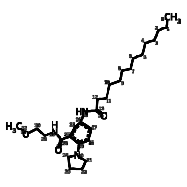 CCCCCCCCCCCCCC(=O)Nc1ccc(N2CCCC2)c(C(=O)NCCOC)c1